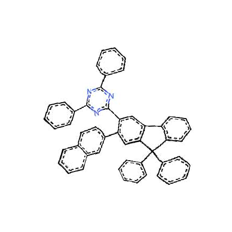 c1ccc(-c2nc(-c3ccccc3)nc(-c3cc4c(cc3-c3ccc5ccccc5c3)C(c3ccccc3)(c3ccccc3)c3ccccc3-4)n2)cc1